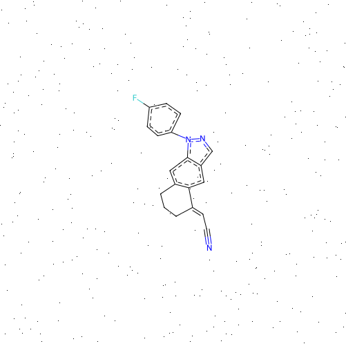 N#CC=C1CCCc2cc3c(cnn3-c3ccc(F)cc3)cc21